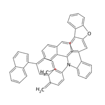 C=C(/C=C\C(=C/C)N(c1ccccc1-c1ccc2c(c1)oc1ccccc12)c1cccc2ccccc12)c1cccc(-c2cccc3ccccc23)c1